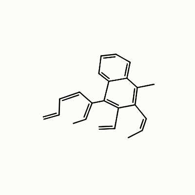 C=C/C=C\C(=C/C)c1c(C=C)c(/C=C\C)c(C)c2ccccc12